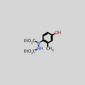 CCOC(=O)NN(C(=O)OCC)c1ccc(O)cc1C